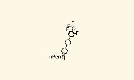 CCCCC[Si@H]1CC[C@H]([C@H]2CC[C@H](c3cc(F)c(OC(F)F)c(F)c3)CC2)CC1